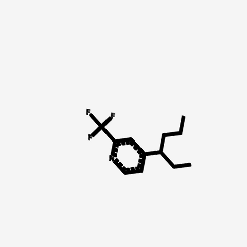 CCCC(CC)c1ccnc(C(F)(F)F)c1